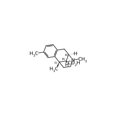 Cc1ccc2c(c1)[C@@]1(C)CCN(C)[C@H](C2)[C@@H]1C(=O)O